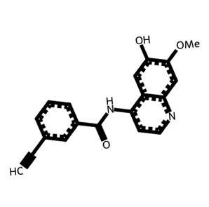 C#Cc1cccc(C(=O)Nc2ccnc3cc(OC)c(O)cc23)c1